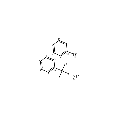 CC(C)(C)c1ccccc1.[Na+].[O-]c1ccccc1